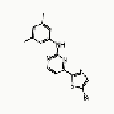 Cc1cc(C)cc(Nc2nccc(-c3ncc(Br)s3)n2)c1